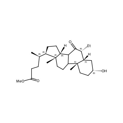 CC[C@H]1C(=O)C2C(CC[C@@]3(C)[C@@H]2CC[C@@H]3[C@H](C)CCC(=O)OC)[C@@]2(C)CC[C@@H](O)C[C@@H]12